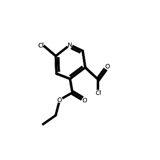 CCOC(=O)c1cc(Cl)ncc1C(=O)Cl